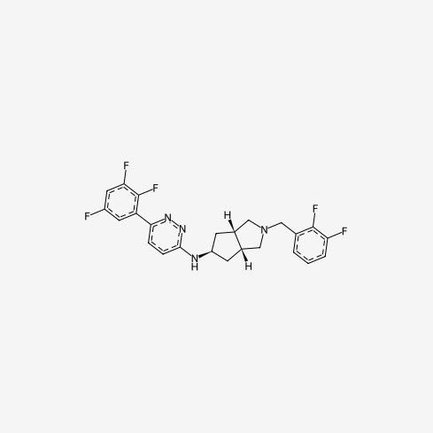 Fc1cc(F)c(F)c(-c2ccc(N[C@H]3C[C@@H]4CN(Cc5cccc(F)c5F)C[C@@H]4C3)nn2)c1